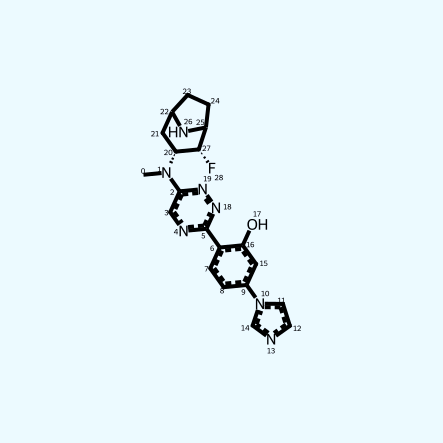 CN(c1cnc(-c2ccc(-n3ccnc3)cc2O)nn1)[C@@H]1CC2CCC(N2)[C@@H]1F